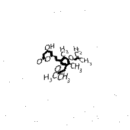 C=C(C)COc1c(C)c(CC[C@@H]2C[C@@H](O)CC(=O)O2)c2c(c1C)CC(C)(C)O2